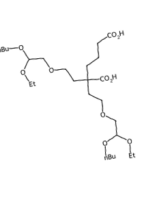 CCCCOC(COCCC(CCCC(=O)O)(CCOCC(OCC)OCCCC)C(=O)O)OCC